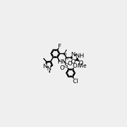 COc1cc(Cl)ccc1S(=O)(=O)N[C@H](c1n[nH]c(=O)o1)[C@H](C)c1c(F)ccc(-c2cn(C)nc2C)c1C